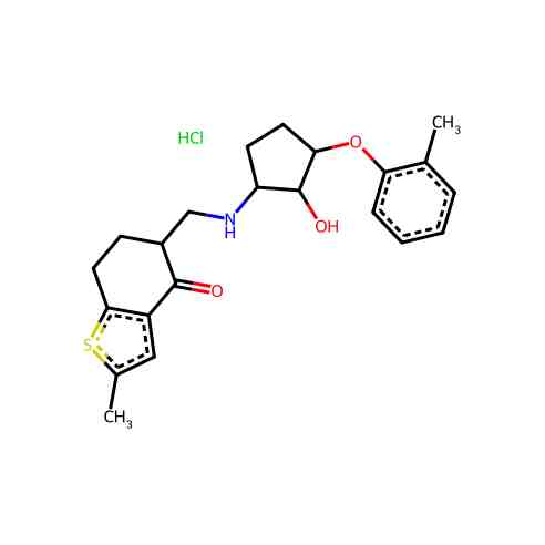 Cc1cc2c(s1)CCC(CNC1CCC(Oc3ccccc3C)C1O)C2=O.Cl